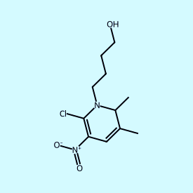 CC1=CC([N+](=O)[O-])=C(Cl)N(CCCCO)C1C